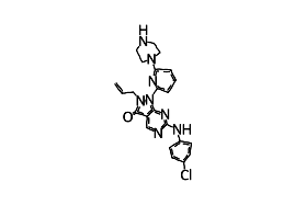 C=CCn1c(=O)c2cnc(Nc3ccc(Cl)cc3)nc2n1-c1cccc(N2CCNCC2)n1